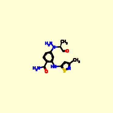 Cc1cc(Nc2cc(N(N)[C@H](C)C=O)ccc2C(N)=O)sn1